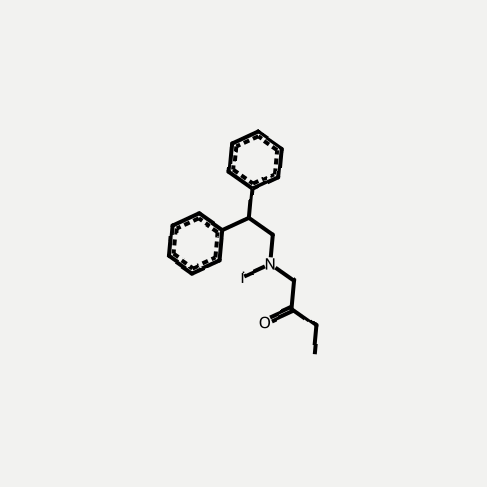 CCC(=O)CN(I)CC(c1ccccc1)c1ccccc1